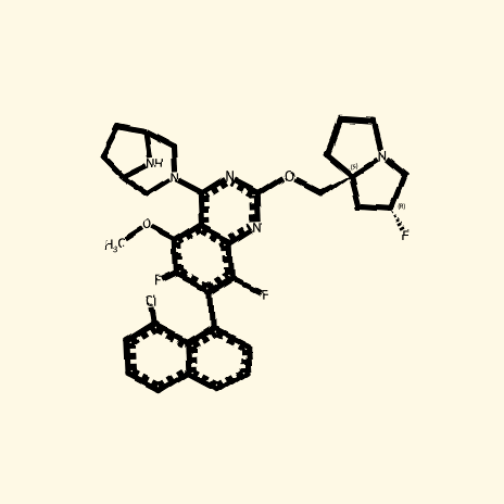 COc1c(F)c(-c2cccc3cccc(Cl)c23)c(F)c2nc(OC[C@@]34CCCN3C[C@H](F)C4)nc(N3CC4CCC(C3)N4)c12